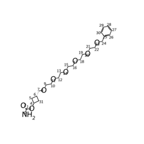 NC(=O)O[C@H]1C[C@H](COCCOCCOCCOCCOCCOCc2ccccc2)C1